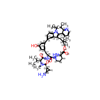 CCn1c(-c2cccnc2C(C)C)c2c3cc(ccc31)-c1cc(O)cc(c1)C[C@H](NC(=O)[C@H](C(C)C)N(C)C(=O)[C@H]1C[C@H]1N)C(=O)N1CCC[C@H](N1)C(=O)OCC(C)(C)C2